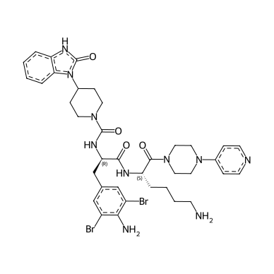 NCCCC[C@H](NC(=O)[C@@H](Cc1cc(Br)c(N)c(Br)c1)NC(=O)N1CCC(n2c(=O)[nH]c3ccccc32)CC1)C(=O)N1CCN(c2ccncc2)CC1